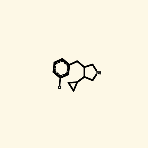 Clc1cccc(CC2CNCC2C2CC2)c1